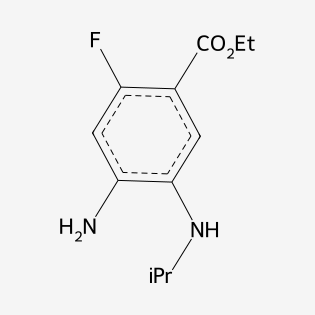 CCOC(=O)c1cc(NC(C)C)c(N)cc1F